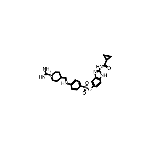 N=C(N)N1CCC(CNc2ccc(S(=O)(=O)Oc3ccc4[nH]c(NC(=O)C5CC5)nc4c3)cc2)CC1